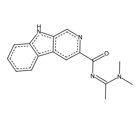 C/C(=N/C(=O)c1cc2c(cn1)[nH]c1ccccc12)N(C)C